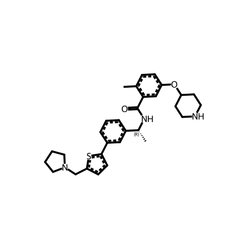 Cc1ccc(OC2CCNCC2)cc1C(=O)N[C@H](C)c1cccc(-c2ccc(CN3CCCC3)s2)c1